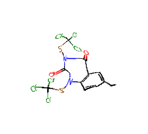 Cc1ccc2c(c1)c(=O)n(SC(Cl)(Cl)Cl)c(=O)n2SC(Cl)(Cl)Cl